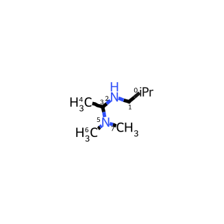 CC(C)CNC(C)N(C)C